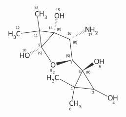 CC1(C)C(O)[C@@]1(O)[C@H]1O[C@@]2(O)C(C)(C)[C@@]2(O)[C@@H]1N